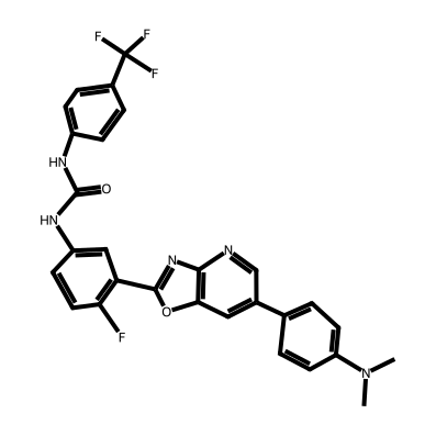 CN(C)c1ccc(-c2cnc3nc(-c4cc(NC(=O)Nc5ccc(C(F)(F)F)cc5)ccc4F)oc3c2)cc1